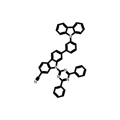 N#Cc1ccc2c3ccc(-c4cccc(-n5c6ccccc6c6ccccc65)c4)cc3n(-c3nc(-c4ccccc4)nc(-c4ccccc4)n3)c2c1